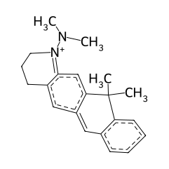 CN(C)[N+]1=c2cc3c(cc2CCC1)=Cc1ccccc1C3(C)C